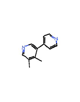 Cc1cncc(-c2ccncc2)c1C